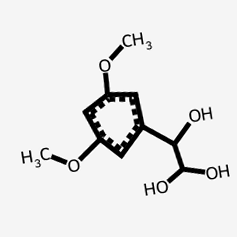 COc1cc(OC)cc(C(O)C(O)O)c1